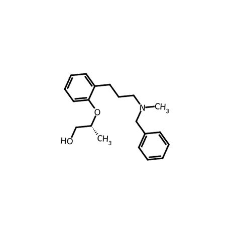 C[C@H](CO)Oc1ccccc1CCCN(C)Cc1ccccc1